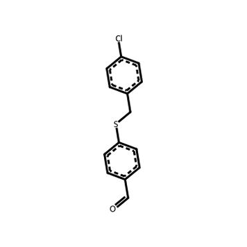 O=Cc1ccc(SCc2ccc(Cl)cc2)cc1